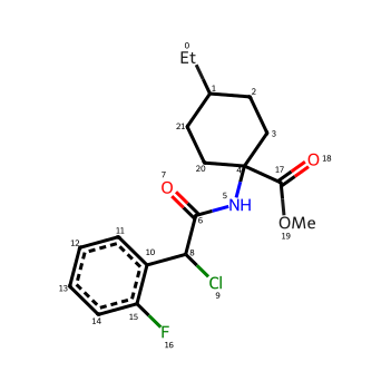 CCC1CCC(NC(=O)C(Cl)c2ccccc2F)(C(=O)OC)CC1